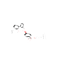 O=C(O)COC1(c2ccc(OCc3cccc(-c4ccccc4OC(F)(F)F)c3)cc2)COC1